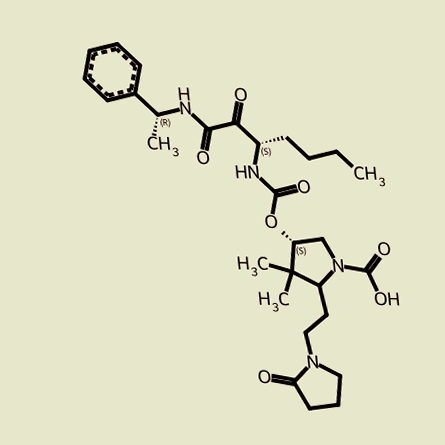 CCCC[C@H](NC(=O)O[C@@H]1CN(C(=O)O)C(CCN2CCCC2=O)C1(C)C)C(=O)C(=O)N[C@H](C)c1ccccc1